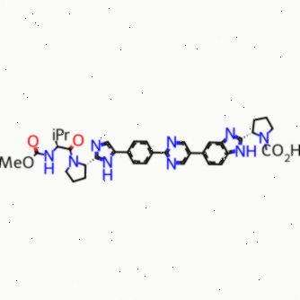 COC(=O)N[C@H](C(=O)N1CCC[C@H]1c1ncc(-c2ccc(-c3ncc(-c4ccc5[nH]c([C@@H]6CCCN6C(=O)O)nc5c4)cn3)cc2)[nH]1)C(C)C